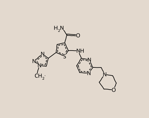 [CH2]n1cc(-c2cc(C(N)=O)c(Nc3ccnc(CN4CCOCC4)n3)s2)nn1